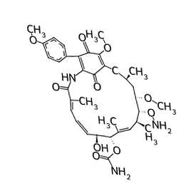 COC1=C2C[C@@H](C)C[C@H](OC)[C@H](ON)[C@@H](C)/C=C(\C)[C@H](OC(N)=O)[C@@H](O)/C=C\C=C(/C)C(=O)NC(=C(c3ccc(OC)cc3)C1=O)C2=O